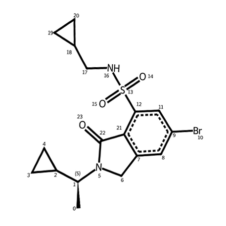 C[C@@H](C1CC1)N1Cc2cc(Br)cc(S(=O)(=O)NCC3CC3)c2C1=O